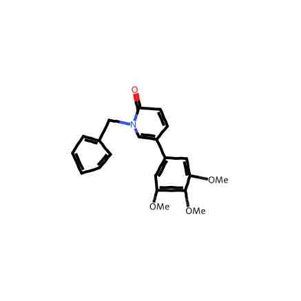 COc1cc(-c2ccc(=O)n(Cc3ccccc3)c2)cc(OC)c1OC